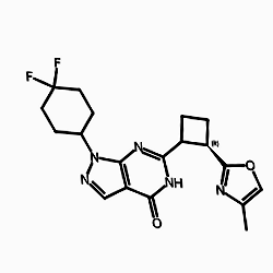 Cc1coc([C@@H]2CCC2c2nc3c(cnn3C3CCC(F)(F)CC3)c(=O)[nH]2)n1